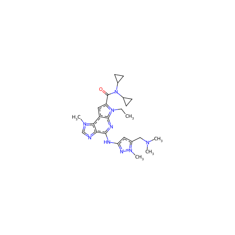 CCn1c(C(=O)N(C2CC2)C2CC2)cc2c3c(ncn3C)c(Nc3cc(CN(C)C)n(C)n3)nc21